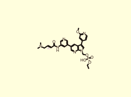 CCOP(=O)(O)OCn1cc(-c2ccnc(OC)c2)c2cc(-c3cncc(NC(=O)/C=C/CN(C)C)c3)cnc21